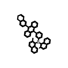 Cc1ccc2ccccc2c1B(c1cccc(-c2c3ccccc3c(-c3ccc4c(c3)C=CCC4)c3ccccc23)c1)c1c(C)ccc2ccccc12